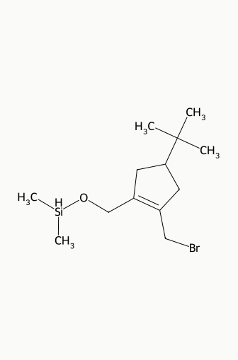 C[SiH](C)OCC1=C(CBr)CC(C(C)(C)C)C1